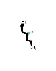 C#CCC(F)=CCC